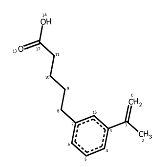 C=C(C)c1cccc(CCCCC(=O)O)c1